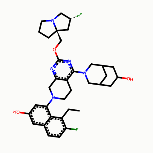 CCc1c(F)ccc2cc(O)cc(N3CCc4c(nc(OC[C@@]56CCCN5C[C@H](F)C6)nc4N4CC5CC(O)CC(C5)C4)C3)c12